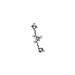 CC1(C)CC(CCCCNc2nc(Cl)nc(NCCCCC3CC(C)(C)NC(C)(C)C3)n2)CC(C)(C)N1